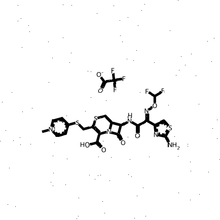 C[n+]1ccc(SCC2=C(C(=O)O)N3C(=O)C(NC(=O)C(=NOC(F)F)c4csc(N)n4)C3CS2)cc1.O=C([O-])C(F)(F)F